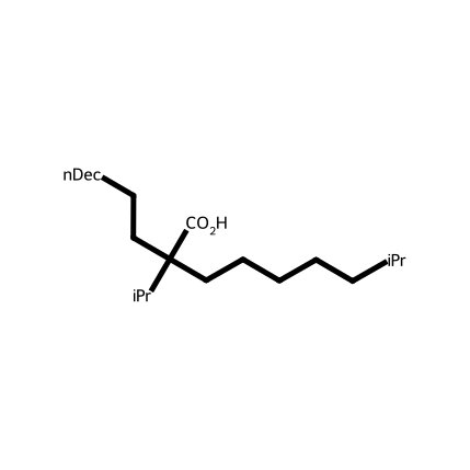 CCCCCCCCCCCCC(CCCCCC(C)C)(C(=O)O)C(C)C